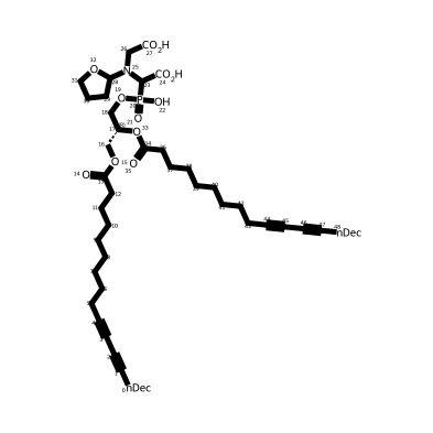 CCCCCCCCCCC#CC#CCCCCCCCCC(=O)OC[C@H](COP(=O)(O)C(C(=O)O)N(CC(=O)O)C1CCCO1)OC(=O)CCCCCCCCC#CC#CCCCCCCCCCC